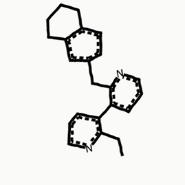 CCc1ncccc1-c1cccnc1Cc1ccc2c(c1)CCCC2